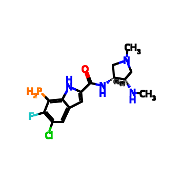 CN[C@H]1CN(C)C[C@H]1NC(=O)c1cc2cc(Cl)c(F)c(P)c2[nH]1